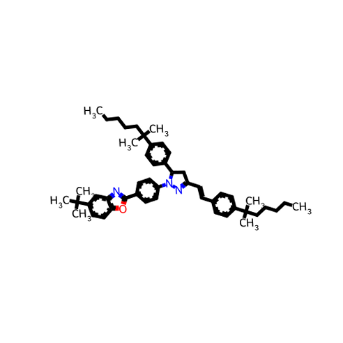 CCCCCC(C)(C)c1ccc(C=CC2=NN(c3ccc(-c4nc5cc(C(C)(C)C)ccc5o4)cc3)C(c3ccc(C(C)(C)CCCCC)cc3)C2)cc1